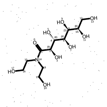 O=C([C@H](O)[C@H](O)[C@H](O)[C@@H](O)[C@H](O)CO)N(CCO)CCO